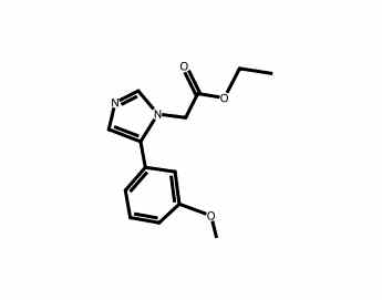 CCOC(=O)Cn1cncc1-c1cccc(OC)c1